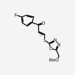 COCc1nnc(S/C=C/C(=O)c2ccc(F)cc2)o1